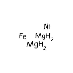 [Fe].[MgH2].[MgH2].[Ni]